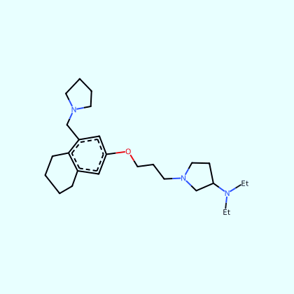 CCN(CC)C1CCN(CCCOc2cc3c(c(CN4CCCC4)c2)CCCC3)C1